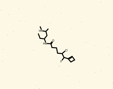 CCC(CC(C)NC)NC(=O)CCCC(Cl)C(F)C1=CCC1